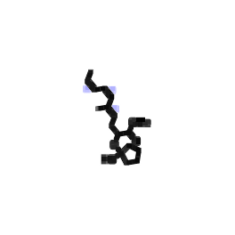 C\C=C/C=C\C(C)=C\CC(OC1(O)CCCC1)C(=O)OC